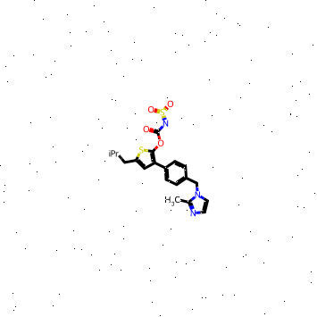 Cc1nccn1Cc1ccc(-c2cc(CC(C)C)sc2OC(=O)N=S(=O)=O)cc1